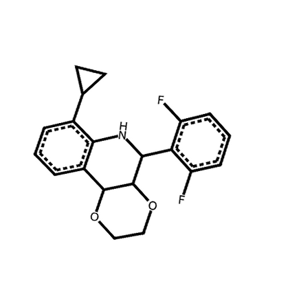 Fc1cccc(F)c1C1Nc2c(C3CC3)cccc2C2OCCOC12